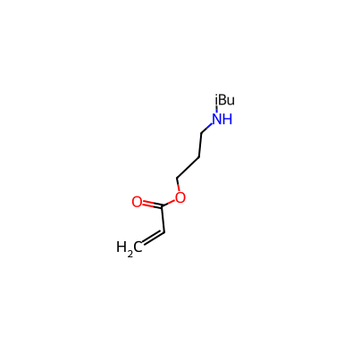 C=CC(=O)OCCCNC(C)CC